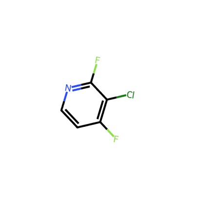 Fc1ccnc(F)c1Cl